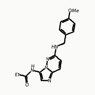 CCC(=O)Nc1cnc2ccc(NCc3ccc(OC)cc3)nn12